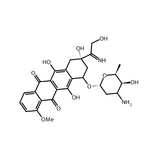 COc1cccc2c1C(=O)c1c(O)c3c(c(O)c1C2=O)C[C@@](O)(C(=N)CO)CC3O[C@H]1CC(N)[C@H](O)[C@H](C)O1